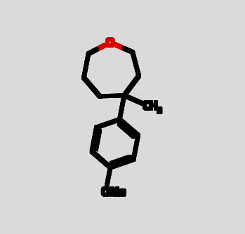 COc1ccc(C2(C)CCCOCC2)cc1